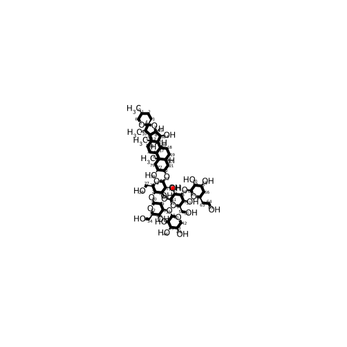 C[C@@H]1CC[C@@]2(OC1)O[C@@H]1C([C@@H]2C)[C@@]2(C)CCC3[C@@H](CC[C@H]4C[C@@H](O[C@@H]5O[C@H](CO)[C@H](O[C@@H]6O[C@H](CO)[C@@H](O)[C@H](O[C@@H]7OC[C@@H](O)[C@H](O)[C@H]7O)[C@H]6O[C@@H]6O[C@H](CO)[C@H](O)[C@H](O[C@@H]7O[C@H](CCO)C[C@H](O)[C@H]7O)[C@H]6O)[C@H](O)[C@H]5O)[C@H](O)C[C@]34C)[C@@H]2[C@@H]1O